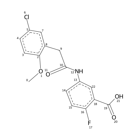 COc1ccc(Cl)cc1CC(=O)Nc1ccc(F)c(C(=O)O)c1